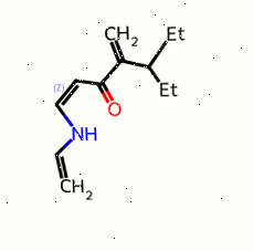 C=CN/C=C\C(=O)C(=C)C(CC)CC